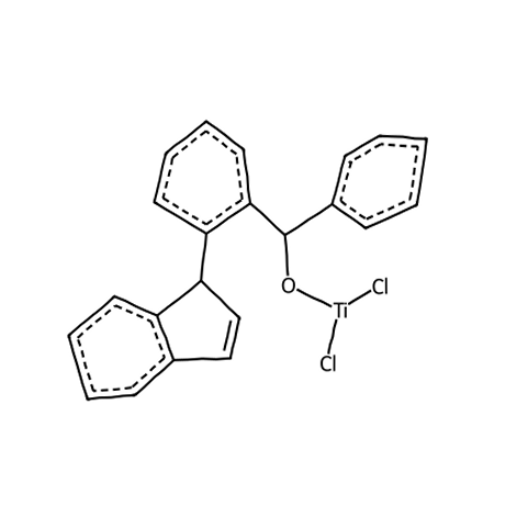 [Cl][Ti]([Cl])[O]C(c1ccccc1)c1ccccc1C1C=Cc2ccccc21